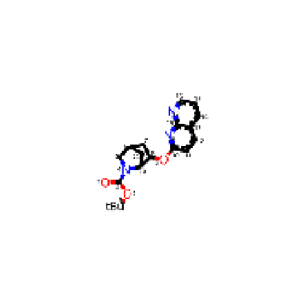 CC(C)(C)OC(=O)N1CC2CC(Oc3ccc4cccnc4n3)C1C2